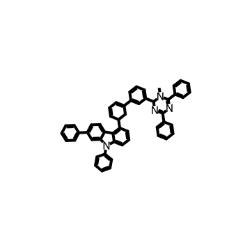 CN1C(c2ccccc2)=NC(c2ccccc2)=NC1c1cccc(C2=CC=CC(c3cccc4c3c3ccc(-c5ccccc5)cc3n4-c3ccccc3)C2)c1